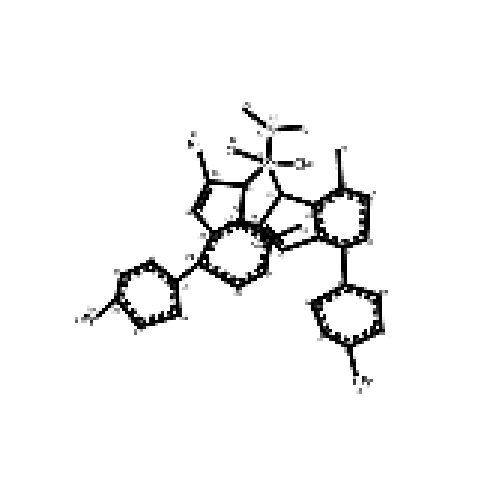 CCCc1ccc(-c2ccc(C)c3c2C=C(C)[CH]3[Zr]([Cl])([Cl])([CH]2C(CC)=Cc3c(-c4ccc(CCC)cc4)ccc(C)c32)[SiH](C)C)cc1